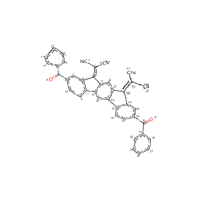 N#CC(C#N)=C1c2cc(C(=O)c3ccccc3)ccc2-c2cc3c(cc21)C(=C(C#N)C#N)c1cc(C(=O)c2ccccc2)ccc1-3